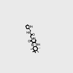 C[C@@H]1[C@@H](C)C(C)(C)[C@@H](C)C[C@H]1Nc1cnn(CC(=O)NC[C@H]2CCCN2)c(=O)c1Br